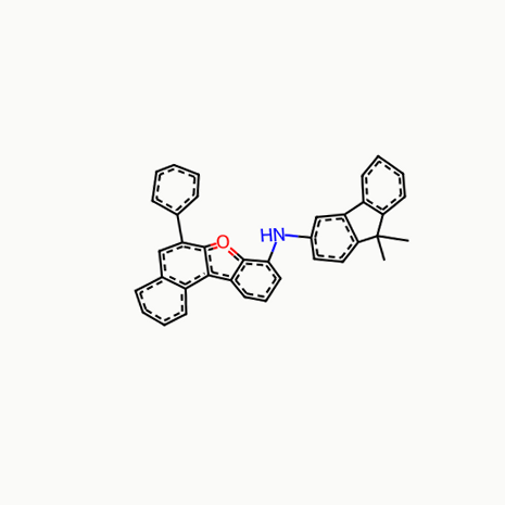 CC1(C)c2ccccc2-c2cc(Nc3cccc4c3oc3c(-c5ccccc5)cc5ccccc5c34)ccc21